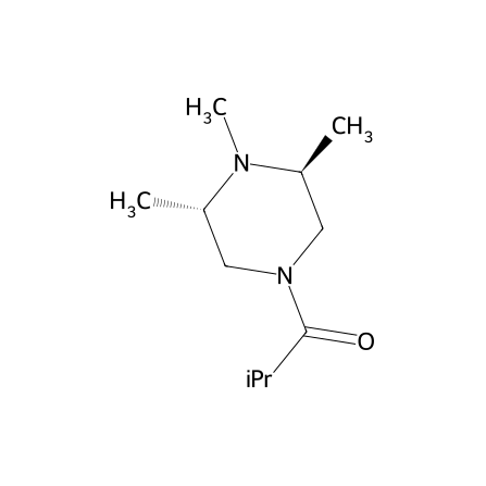 CC(C)C(=O)N1C[C@H](C)N(C)[C@@H](C)C1